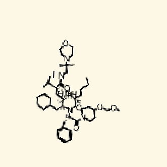 CCCC[C@H](N)C(=O)N([C@@H](Cc1ccccc1)C(=O)N1CCC(OCOC)CC1)[C@@H](CC1CCCCC1)[C@@H](O)C[C@H](C(=O)NCC(C)(C)N1CCOCC1)C(C)C